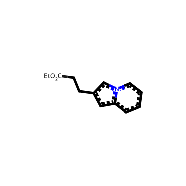 CCOC(=O)CCc1cc2ccccn2c1